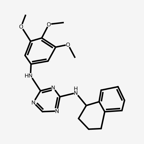 COc1cc(Nc2ncnc(NC3CCCc4ccccc43)n2)cc(OC)c1OC